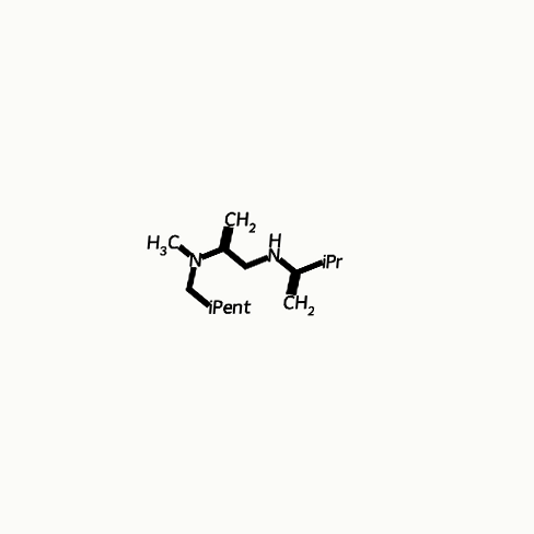 C=C(NCC(=C)N(C)CC(C)CCC)C(C)C